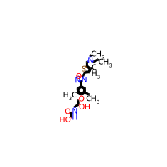 CCCN(CC)Cc1sc(-c2nc(-c3cc(C)c(OCC(O)CNC(=O)CO)c(CC)c3)no2)cc1C